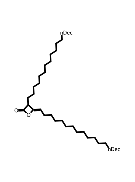 CCCCCCCCCCCCCCCCCCCCCCC=C1OC(=O)C1CCCCCCCCCCCCCCCCCCCCCC